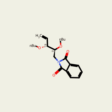 C=C[C@@H](OCCCC)[C@H](CN1C(=O)c2ccccc2C1=O)OCCCC